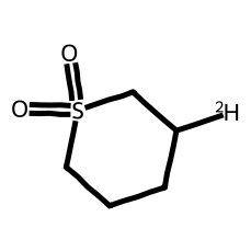 [2H]C1CCCS(=O)(=O)C1